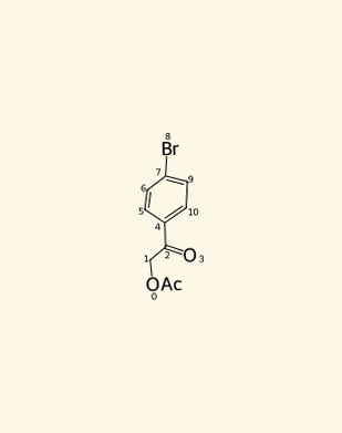 CC(=O)OCC(=O)c1ccc(Br)cc1